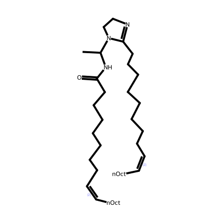 CCCCCCCC/C=C\CCCCCCCCC1=NCCN1C(C)NC(=O)CCCCCCC/C=C\CCCCCCCC